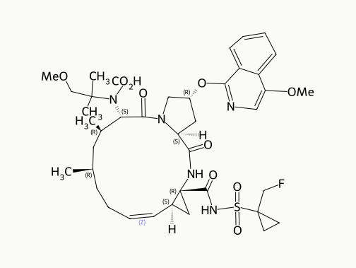 COCC(C)(C)N(C(=O)O)[C@@H]1C(=O)N2C[C@H](Oc3ncc(OC)c4ccccc34)C[C@H]2C(=O)N[C@]2(C(=O)NS(=O)(=O)C3(CF)CC3)C[C@H]2/C=C\CC[C@@H](C)C[C@H]1C